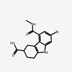 CNC(=O)c1cc(Br)cc2[nH]c3c(c12)CC(C(=O)O)CC3